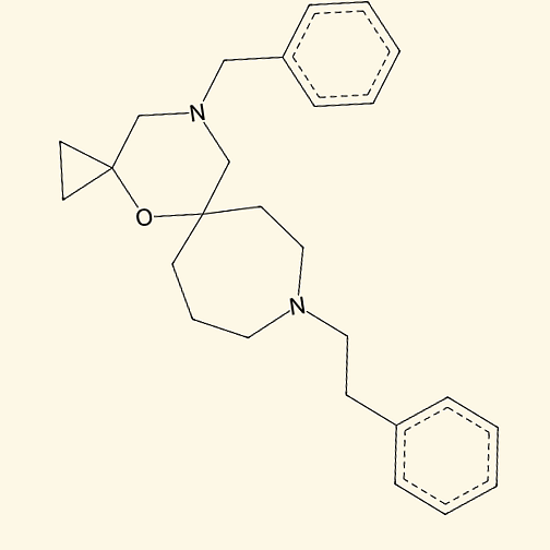 c1ccc(CCN2CCCC3(CC2)CN(Cc2ccccc2)CC2(CC2)O3)cc1